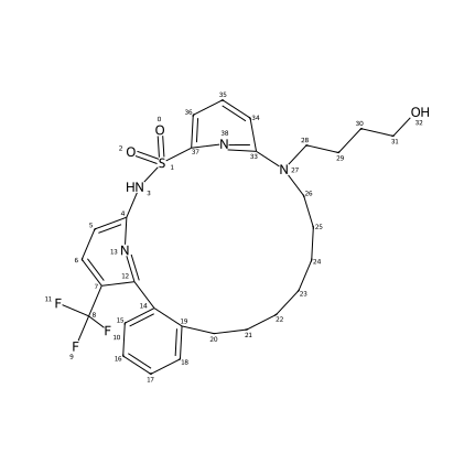 O=S1(=O)Nc2ccc(C(F)(F)F)c(n2)-c2ccccc2CCCCCCCN(CCCCO)c2cccc1n2